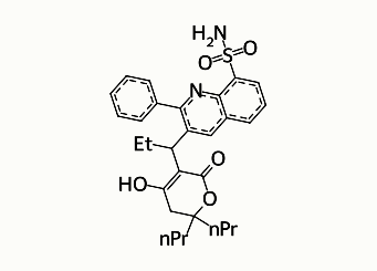 CCCC1(CCC)CC(O)=C(C(CC)c2cc3cccc(S(N)(=O)=O)c3nc2-c2ccccc2)C(=O)O1